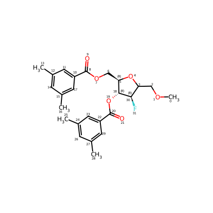 COCC1O[C@H](COC(=O)c2cc(C)cc(C)c2)[C@@H](OC(=O)c2cc(C)cc(C)c2)[C@@H]1F